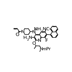 C=CC(=O)N1CCC(N(N)c2c(N)c(OC(C)CN(C)CCC)nc3c(F)c(-c4cccc5cccc(C#N)c45)c(C)cc23)CC1